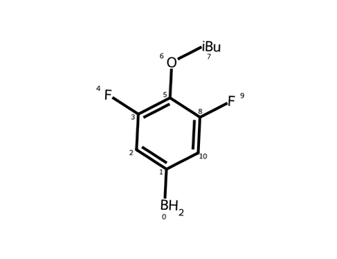 Bc1cc(F)c(OC(C)CC)c(F)c1